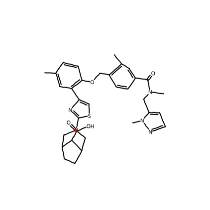 Cc1ccc(OCc2ccc(C(=O)N(C)Cc3ccnn3C)cc2C)c(-c2csc(N3CC4CCC(C3)C4C(=O)O)n2)c1